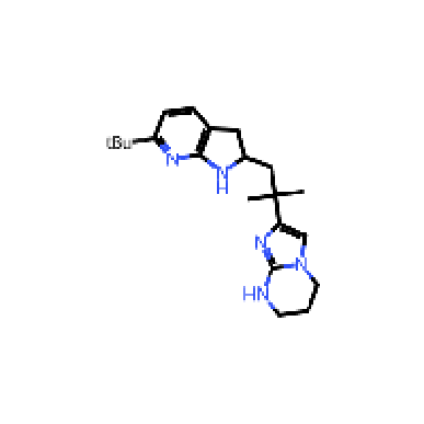 CC(C)(C)c1ccc2c(n1)NC(CC(C)(C)c1cn3c(n1)NCCC3)C2